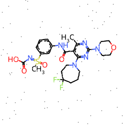 Cc1nc(N2CCOCC2)nc(N2CCCC(F)(F)CC2)c1C(=O)Nc1cccc(S(C)(=O)=NC(=O)O)c1